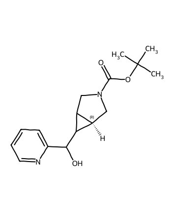 CC(C)(C)OC(=O)N1CC2C(C(O)c3ccccn3)[C@@H]2C1